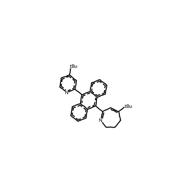 CC(C)(C)C1=CC(c2c3ccccc3c(-c3cc(C(C)(C)C)ccn3)c3ccccc23)=NCCC1